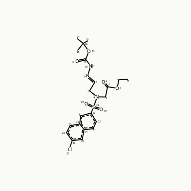 CCOC(=O)CN(C/C=N/NC(=O)OC(C)(C)C)S(=O)(=O)c1ccc2cc(Cl)ccc2c1